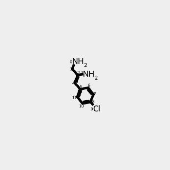 NCC(N)=Cc1ccc(Cl)cc1